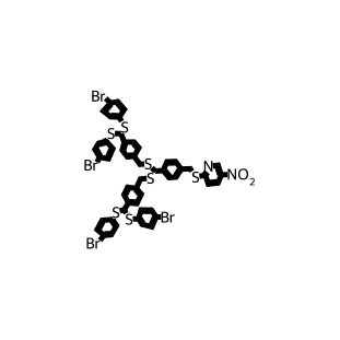 O=[N+]([O-])c1ccc(SCc2ccc(C(SCc3ccc(C(Sc4ccc(Br)cc4)Sc4ccc(Br)cc4)cc3)SCc3ccc(C(Sc4ccc(Br)cc4)Sc4ccc(Br)cc4)cc3)cc2)nc1